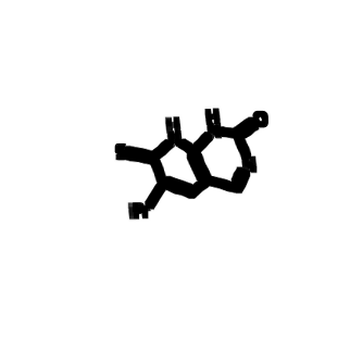 CC(C)c1cc2cnc(=O)[nH]c2[nH]c1=S